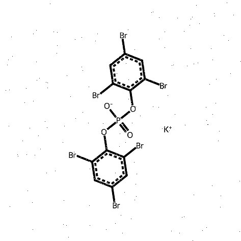 O=P([O-])(Oc1c(Br)cc(Br)cc1Br)Oc1c(Br)cc(Br)cc1Br.[K+]